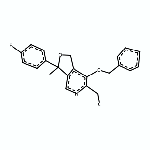 CC1(c2ccc(F)cc2)OCc2c1cnc(CCl)c2OCc1ccccc1